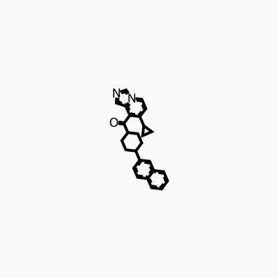 O=C(c1c(C2CC2)ccn2cncc12)C1CCC(c2ccc3ccccc3c2)CC1